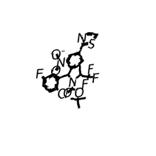 CC(C)(C)OC(=O)N1C(c2cc(F)ccc2Cl)c2c(cc(-c3nccs3)cc2[N+](=O)[O-])C1C(F)(F)F